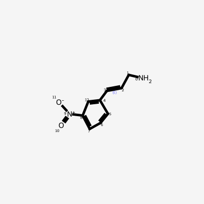 NC/C=C/c1cccc([N+](=O)[O-])c1